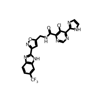 O=C(NCc1cc(-c2nc3ccc(C(F)(F)F)cc3[nH]2)no1)c1ncnc(-c2ncc[nH]2)c1Cl